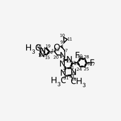 Cc1nc2nc(N3C[C@@H](C4CC4)O[C@@H](c4cnn(C)c4)C3)nc(-c3ccc(F)cc3F)c2nc1C